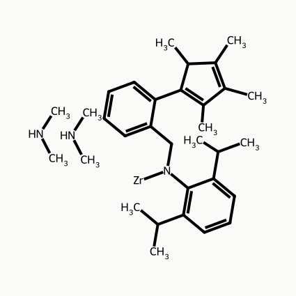 CC1=C(C)C(C)C(c2ccccc2C[N]([Zr])c2c(C(C)C)cccc2C(C)C)=C1C.CNC.CNC